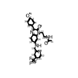 COc1ccc(-c2nc3ccc(NCc4cc(C(F)(F)F)ccn4)cc3n(CCNC(C)=O)c2=O)cc1